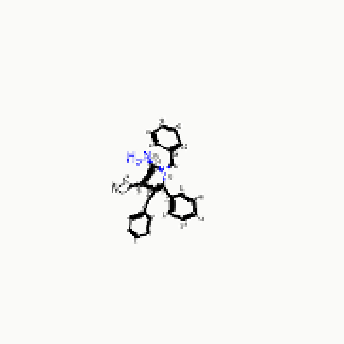 N#Cc1c(-c2ccccc2)c(-c2ccccc2)n(Cc2ccccc2)c1N